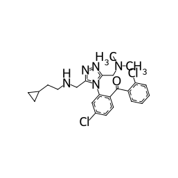 CN(C)Cc1nnc(CNCCC2CC2)n1-c1cc(Cl)ccc1C(=O)c1ccccc1Cl